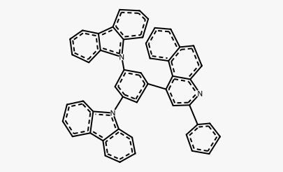 c1ccc(-c2cc(-c3cc(-n4c5ccccc5c5ccccc54)cc(-n4c5ccccc5c5ccccc54)c3)c3c(ccc4ccccc43)n2)cc1